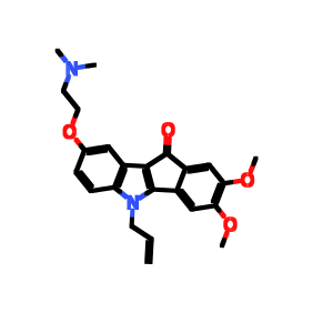 C=CCn1c2c(c3cc(OCCN(C)C)ccc31)C(=O)c1cc(OC)c(OC)cc1-2